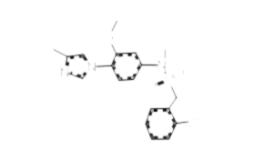 COc1cc(NS(=O)(=O)Cc2ccccc2Br)ccc1-n1cnc(C)c1